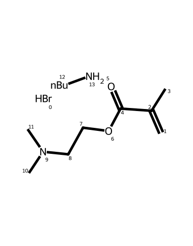 Br.C=C(C)C(=O)OCCN(C)C.CCCCN